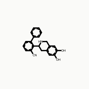 N#Cc1cccc(-c2ccccc2)c1C1Cc2cc(O)c(O)cc2CN1